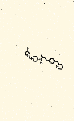 C=C(CCc1ccc(CC2=NC=CCC2)cc1)NC1CCN(Cn2ccc(F)c2)CC1